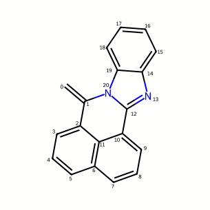 C=c1c2cccc3cccc(c32)c2nc3ccccc3n12